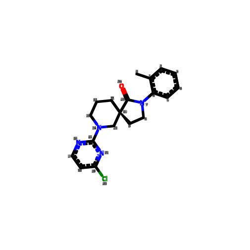 Cc1ccccc1N1CC[C@@]2(CCCN(c3nccc(Cl)n3)C2)C1=O